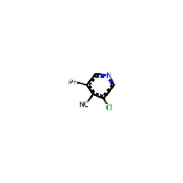 CC(C)c1cncc(Cl)c1C#N